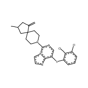 C=C1CC(C)CC12CCN(c1ncc(Sc3cccc(Cl)c3Cl)c3nccn13)CC2